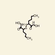 CCCCC(SSC(CCCC)C(=O)NO)C(=O)NO